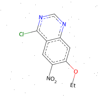 CCOc1cc2ncnc(Cl)c2cc1[N+](=O)[O-]